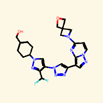 OCC1CCC(n2cc(-n3cc(-c4cnn5ccc(N6CC7(COC7)C6)nc45)nn3)c(C(F)F)n2)CC1